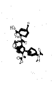 COC(=O)N(C)c1cc2onc(C(=O)Nc3ccc(C#N)cc3C(=O)O)c2cc1-c1ccc(NC(C)=O)cc1